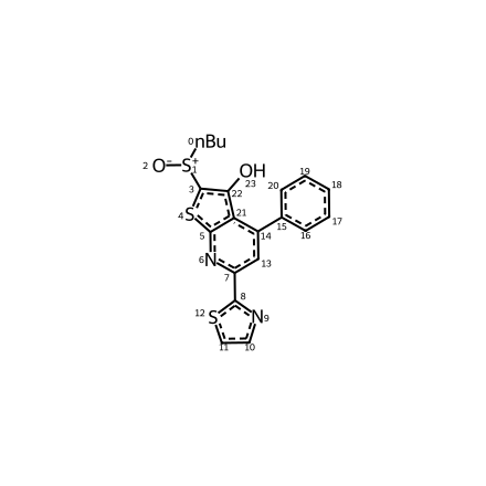 CCCC[S+]([O-])c1sc2nc(-c3nccs3)cc(-c3ccccc3)c2c1O